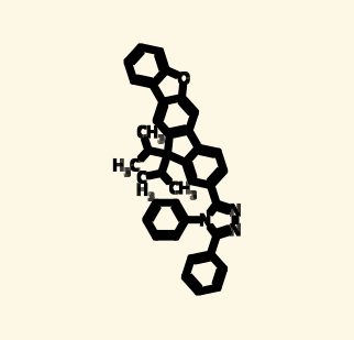 CC(C)C1(C(C)C)c2cc(-c3nnc(-c4ccccc4)n3-c3ccccc3)ccc2-c2cc3oc4ccccc4c3cc21